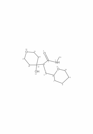 CNC(=O)C(SC1CCCCO1)C1(O)CCOCC1